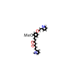 COc1cc(OCCc2ccccn2)ccc1C=CC(=O)CC(=O)C=Cc1cccn1C